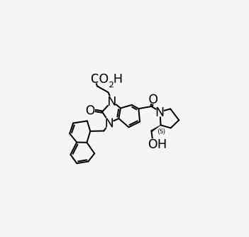 O=C(O)CCn1c(=O)n(CC2CC=CC3=CC=CCC32)c2ccc(C(=O)N3CCC[C@H]3CO)cc21